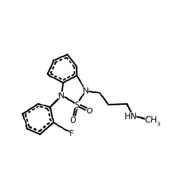 CNCCCN1c2ccccc2N(c2ccccc2F)S1(=O)=O